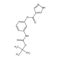 CC(C)(C)OC(=O)Nc1cccc(OC(=O)c2cn[nH]c2)c1